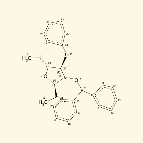 CC[C@H]1O[C@H](CC)[C@@H](OP(c2ccccc2)c2ccccc2)[C@@H]1Oc1ccccc1